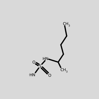 CCCCC(C)NS([NH])(=O)=O